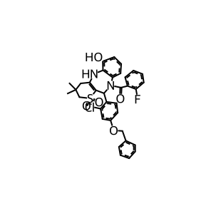 CC1(C)CC2=C(C(c3ccc(OCc4ccccc4)cc3Cl)N(C(=O)c3ccccc3F)c3cccc(O)c3N2)S(=O)(=O)C1